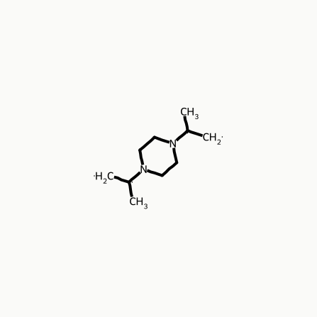 [CH2][C](C)N1CCN([C]([CH2])C)CC1